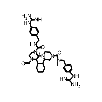 N=C(N)Nc1ccc(CNC(=O)N2CCN(C=O)C(C3CCCCC3C3CN(C(=O)NCc4ccc(NC(=N)N)cc4)CCN3C=O)C2)cc1